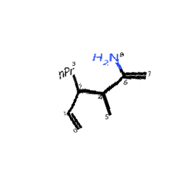 C=CC(CCC)C(C)C(=C)N